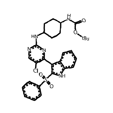 CC(C)(C)OC(=O)NC1CCC(Nc2ncc(Cl)c(-c3c(S(=O)(=O)c4ccccc4)[nH]c4ccccc34)n2)CC1